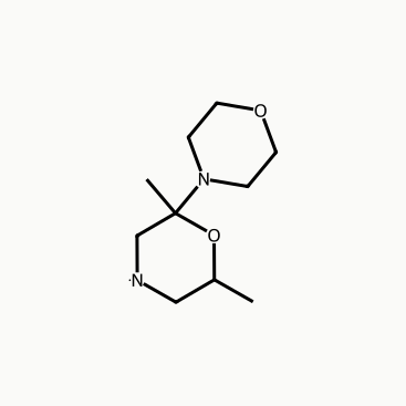 CC1C[N]CC(C)(N2CCOCC2)O1